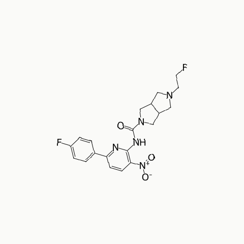 O=C(Nc1nc(-c2ccc(F)cc2)ccc1[N+](=O)[O-])N1CC2CN(CCF)CC2C1